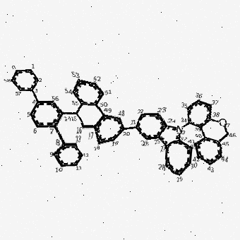 c1ccc(-c2ccc(-c3ccccc3)c(C3Cc4ccc(-c5ccc6c(c5)c5ccccc5n6-c5cccc6c5-c5ccccc5CO6)cc4-c4ccccc43)c2)cc1